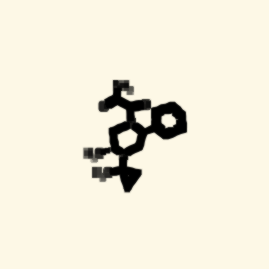 C[C@@H]1CN(C(=O)C(N)=O)[C@@H](c2ccccc2)CN1C1(C)CC1